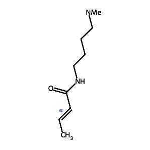 C/C=C/C(=O)NCCCCNC